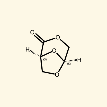 O=C1OC[C@H]2OC[C@@H]1O2